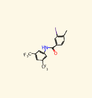 Cc1ccc(C(=O)Nc2cc(C(F)(F)F)cc(C(F)(F)F)c2)cc1I